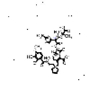 COc1ccc(C(=O)N(O)CC[N+]2(CC3=C(C(=O)[O-])N4C(=O)[C@@H](NC(=O)/C(=N\OC(C)(C)C(=O)O)c5csc(N)n5)[C@H]4SC3)CCCC2)c(Cl)c1O